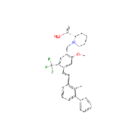 C=C(O)[C@@H]1CCCCN1Cc1cc(C(F)(F)F)c(/C=C/c2cccc(-c3ccccc3)c2C)cc1OC